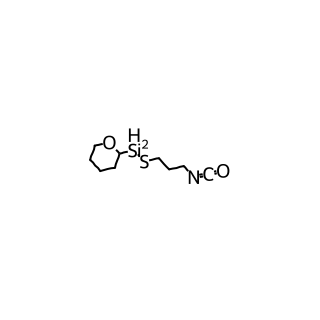 O=C=NCCCS[SiH2]C1CCCCO1